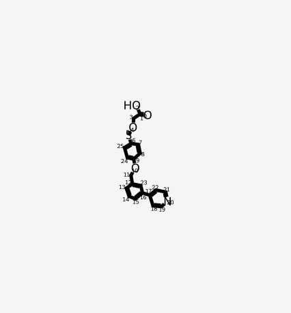 O=C(O)COSc1ccc(OCc2cccc(-c3ccncc3)c2)cc1